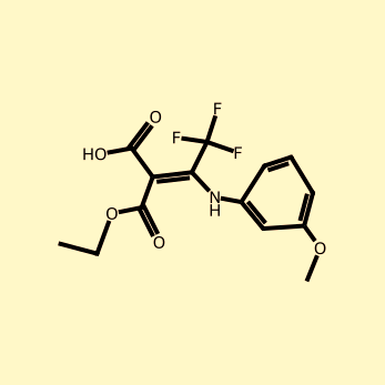 CCOC(=O)C(C(=O)O)=C(Nc1cccc(OC)c1)C(F)(F)F